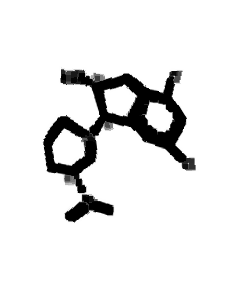 CN(C)[C@@H]1CCCN([C@@H]2c3cc(Cl)cc(Cl)c3C[C@H]2O)C1